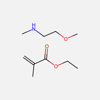 C=C(C)C(=O)OCC.CNCCOC